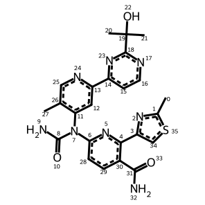 Cc1nc(-c2nc(N(C(N)=O)c3cc(-c4ccnc(C(C)(C)O)n4)ncc3C)ccc2C(N)=O)cs1